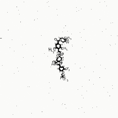 Cc1cc(C(=O)N2CCC(C)(O)CC2)cc(C)c1C=CS(=O)(=O)N1CCC2(CC1)N=C(c1ccc(OCC(F)(F)C(F)(F)F)c(C(F)(F)F)c1)NC2=O